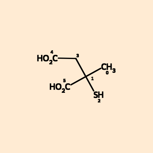 CC(S)(CC(=O)O)C(=O)O